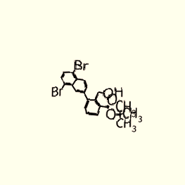 CC(C)(C)OC(=O)c1cccc(-c2ccc3c(Br)ccc(Br)c3c2)c1CO